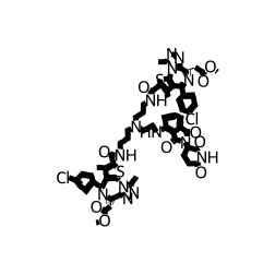 COC(=O)C[C@@H]1N=C(c2ccc(Cl)cc2)c2c(sc(C(=O)NCCCN(CCCNC(=O)c3sc4c(c3C)C(c3ccc(Cl)cc3)=N[C@@H](CC(=O)OC)c3nnc(C)n3-4)CCNc3cccc4c3C(=O)N(C3CCC(=O)NC3=O)C4=O)c2C)-n2c(C)nnc21